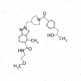 COCCNC(=O)c1ccc2nn(CC3CCN(C(=O)c4ccc(CC(C)O)cc4)CC3)cc2c1C